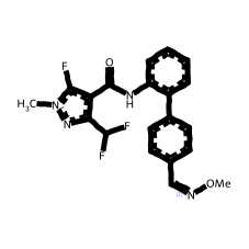 CO/N=C\c1ccc(-c2ccccc2NC(=O)c2c(C(F)F)nn(C)c2F)cc1